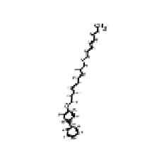 [CH2]CCCCCCCCCCCCCCCCCOc1ccc(-c2ccccc2)cc1